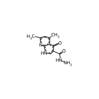 Cc1cc(C)c2c(=O)c(C(=O)NN)c[nH]c2n1